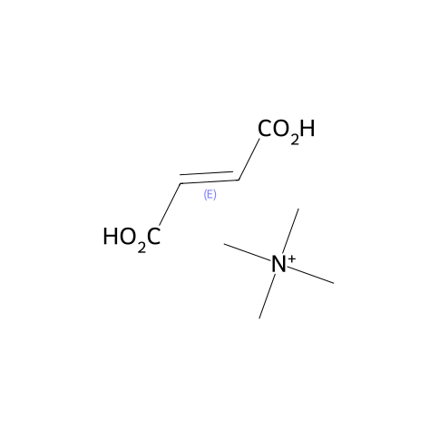 C[N+](C)(C)C.O=C(O)/C=C/C(=O)O